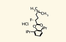 CC(C)c1cccc(C(C)C)c1OC(=O)[C@H](F)CCN(C)C.Cl